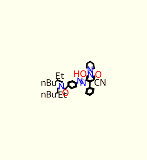 CCCCC(CC)CN(CC(CC)CCCC)C(=O)c1ccc(/N=N/c2c(-c3ccccc3)c(C#N)c(=O)n(N3CCCCC3)c2O)cc1